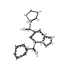 O=C(c1ccccc1)c1cc(C(=O)N2CCCC2)cc2nccn12